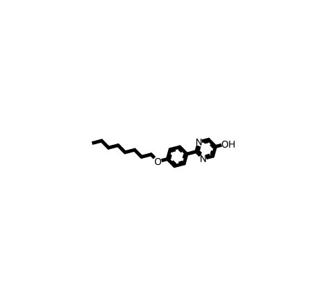 CCCCCCCCOc1ccc(-c2ncc(O)cn2)cc1